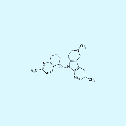 Cc1cnc2c(c1)c1c(n2/C=C2\CCCc3nc(C)ccc32)CCN(C)C1